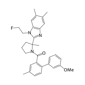 COc1cccc(-c2ccc(C)cc2C(=O)N2CCCC2(C)c2nc3cc(C)c(C)cc3n2CCF)c1